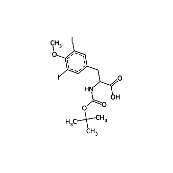 COc1c(I)cc(CC(NC(=O)OC(C)(C)C)C(=O)O)cc1I